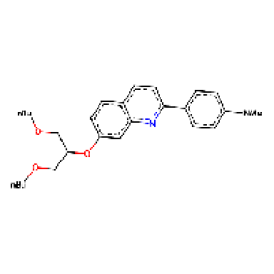 CCCCOCC(COCCCC)Oc1ccc2ccc(-c3ccc(NC)cc3)nc2c1